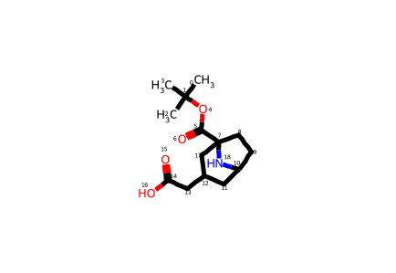 CC(C)(C)OC(=O)C12CCC(CC(CC(=O)O)C1)N2